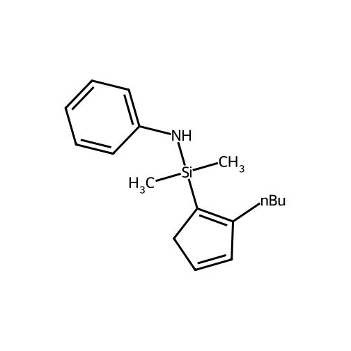 CCCCC1=C([Si](C)(C)Nc2ccccc2)CC=C1